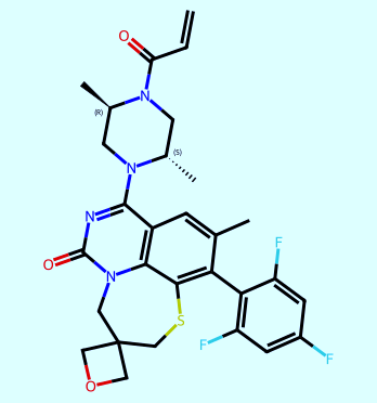 C=CC(=O)N1C[C@H](C)N(c2nc(=O)n3c4c(c(-c5c(F)cc(F)cc5F)c(C)cc24)SCC2(COC2)C3)C[C@H]1C